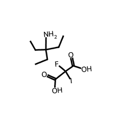 CCC(N)(CC)CC.O=C(O)C(F)(I)C(=O)O